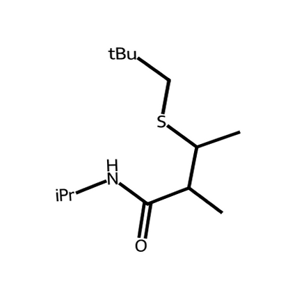 CC(C)NC(=O)C(C)C(C)SCC(C)(C)C